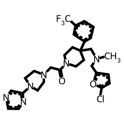 CN(Cc1ccc(Cl)o1)CC1(c2cccc(C(F)(F)F)c2)CCN(C(=O)CN2CCN(c3cnccn3)CC2)CC1